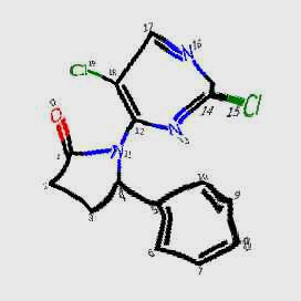 O=C1CCC(c2ccccc2)N1c1nc(Cl)ncc1Cl